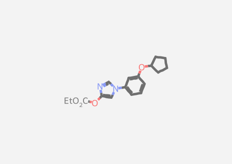 CCOC(=O)Oc1cn(-c2cccc(OC3CCCC3)c2)cn1